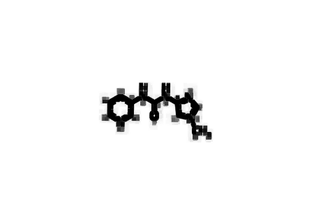 Cn1cnc(NC(=O)Nc2cccnc2)c1